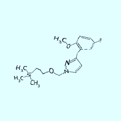 COc1ccc(F)cc1-c1ccn(COCC[Si](C)(C)C)n1